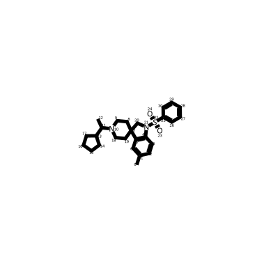 Cc1ccc2c(c1)C1(CCN(C(C)C3CCCC3)CC1)CN2S(=O)(=O)c1ccccc1